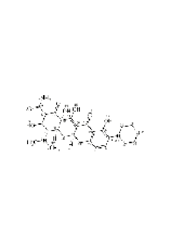 CN(C)[C@@H]1C(O)C(C(N)=O)C(=O)[C@@]2(O)C(O)=C3C(=O)c4c(ccc(N5CCOCC5)c4O)C[C@H]3C[C@@H]12